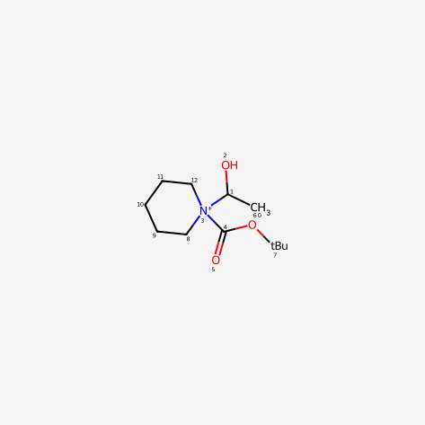 CC(O)[N+]1(C(=O)OC(C)(C)C)CCCCC1